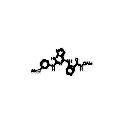 CONC(=O)C1C2C=CC(C2)C1Nc1nc(Nc2cccc(OC)c2)[nH]c2nccc1-2